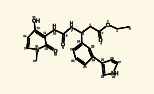 CCOC(=O)CC(NC(=O)Nc1c(O)ccn(C)c1=O)c1cccc(-c2cc[nH]c2)c1